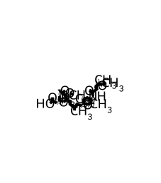 CO[C@@H]1[C@@H](C=CC(C)=CC[C@@H]2O[C@H](C)[C@H](NC(=O)C=C[C@H](C)OC)C[C@@H]2C)O[C@H](CC(=O)O)C[C@@]12CO2